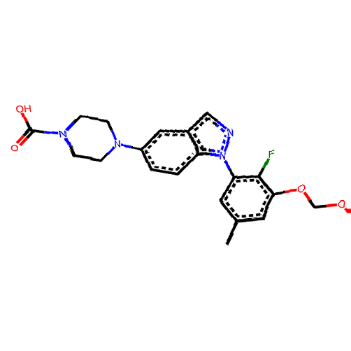 COCOc1cc(C)cc(-n2ncc3cc(N4CCN(C(=O)O)CC4)ccc32)c1F